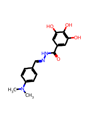 CN(C)c1ccc(/C=N/NC(=O)c2cc(O)c(O)c(O)c2)cc1